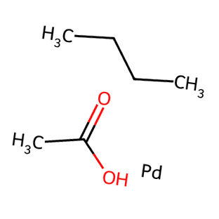 CC(=O)O.CCCC.[Pd]